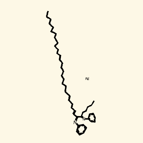 CCCCCCCCCCCCCCCCCCCCCCCCCCC=CC(=Nc1ccccc1)C(CCCCC)=Nc1ccccc1.[Ni]